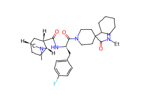 CCNC(=O)C1(C2CCCCC2)CCN(C(=O)[C@@H](Cc2ccc(F)cc2)NC(=O)[C@H]2C[C@H]3CC[C@@H]2N(C)C3)CC1